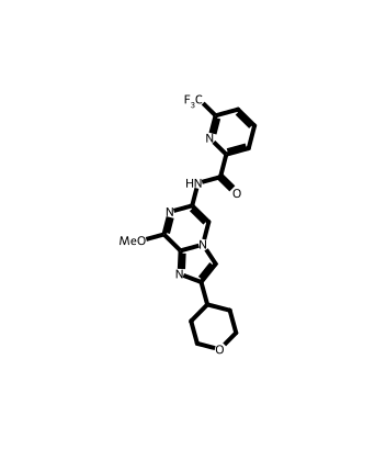 COc1nc(NC(=O)c2cccc(C(F)(F)F)n2)cn2cc(C3CCOCC3)nc12